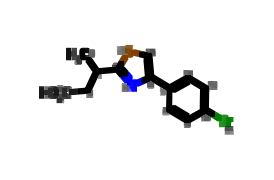 CC(CC(=O)O)c1nc(-c2ccc(Br)cc2)cs1